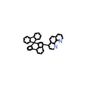 c1ccc2c(c1)-c1ccccc1C21c2ccccc2-c2cccc3c(-c4ccnc5c4ccc4cccnc45)ccc1c23